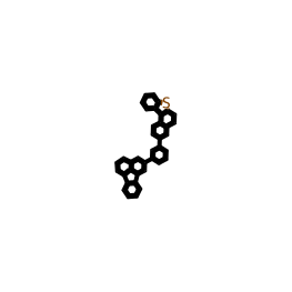 c1cc(-c2cc3c4c(cccc4c2)-c2ccccc2-3)cc(-c2ccc3c(ccc4sc5ccccc5c43)c2)c1